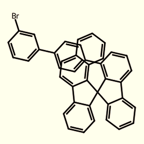 Brc1cccc(-c2ccc(-c3cccc4c3C3(c5ccccc5-4)c4ccccc4-c4ccc5ccccc5c43)cc2)c1